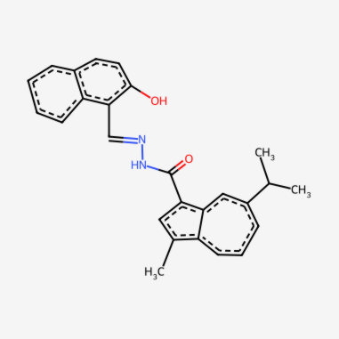 Cc1cc(C(=O)NN=Cc2c(O)ccc3ccccc23)c2cc(C(C)C)cccc1-2